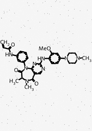 C=CC(=O)Nc1cccc(N2C(=O)C(C)N(C)C(=O)c3cnc(Nc4ccc(N5CCN(C)CC5)cc4OC)nc32)c1